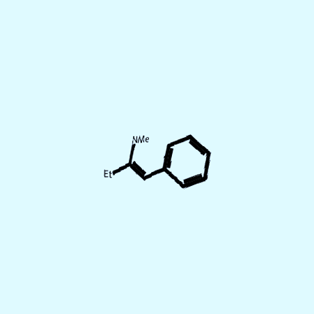 CCC(=Cc1ccccc1)NC